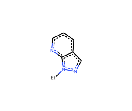 CCn1ncc2c[c]cnc21